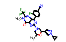 CC1CN(c2nc(-c3ccc(C#N)cc3F)c3nc(C(F)(F)F)n(C)c(=O)c3n2)CC(c2cnn(C3CC3)c2)O1